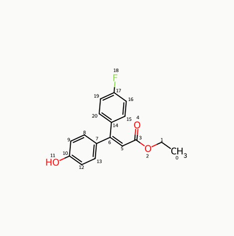 CCOC(=O)C=C(c1ccc(O)cc1)c1ccc(F)cc1